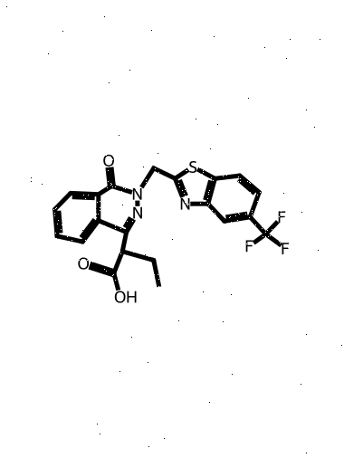 CCC(C(=O)O)c1nn(Cc2nc3cc(C(F)(F)F)ccc3s2)c(=O)c2ccccc12